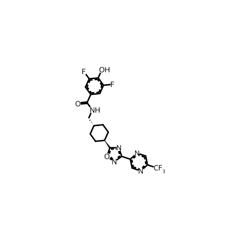 O=C(NC[C@H]1CC[C@H](c2nc(-c3cnc(C(F)(F)F)cn3)no2)CC1)c1cc(F)c(O)c(F)c1